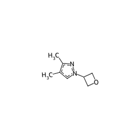 Cc1cn(C2COC2)nc1C